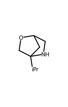 CC(C)C12COC(CN1)C2